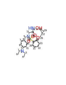 CCN(CC)c1ccc(CN(CC(=O)NO)S(=O)(=O)c2ccccc2OCC2CC2)cc1